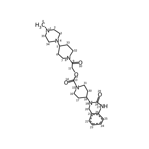 CN1CCN(C2CCN(C(=O)COC(=O)N3CCC(N4Cc5ccccc5NC4=O)CC3)CC2)CC1